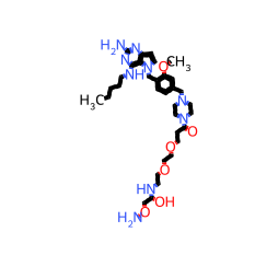 CCCCCNc1nc(N)nc2ccn(Cc3ccc(CN4CCN(C(=O)CCOCCOCCNC(O)CON)CC4)cc3OC)c12